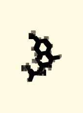 CC(=N)Nc1nc(C)c2ccc(Br)cc2n1